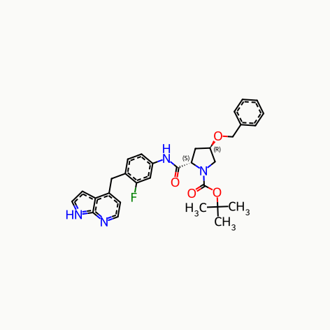 CC(C)(C)OC(=O)N1C[C@H](OCc2ccccc2)C[C@H]1C(=O)Nc1ccc(Cc2ccnc3[nH]ccc23)c(F)c1